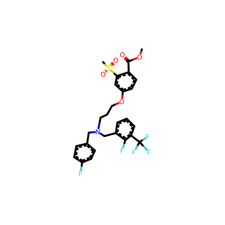 COC(=O)c1ccc(OCCCN(Cc2ccc(F)cc2)Cc2cccc(C(F)(F)F)c2F)cc1S(C)(=O)=O